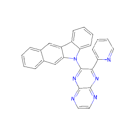 c1ccc(-c2nc3nccnc3nc2-n2c3ccccc3c3cc4ccccc4cc32)nc1